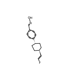 ON=Cc1ccc([C@H]2CC[C@H](C=CF)CC2)cc1